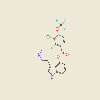 CN(C)CCc1c[nH]c2cccc(OC(=O)c3ccc(OC(F)(F)F)c(Cl)c3F)c12